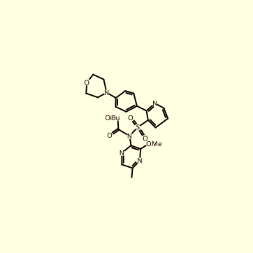 COc1nc(C)cnc1N(C(=O)OCC(C)C)S(=O)(=O)c1cccnc1-c1ccc(N2CCOCC2)cc1